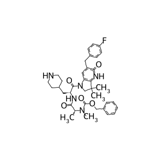 C[C@@H](C(=O)N[C@@H](CC1CCNCC1)C(=O)N1CC(C)(C)c2[nH]c(=O)c(Cc3ccc(F)cc3)cc21)N(C)C(=O)OCc1ccccc1